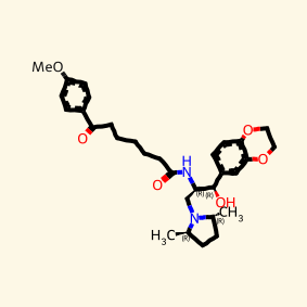 COc1ccc(C(=O)CCCCCC(=O)N[C@H](CN2[C@H](C)CC[C@H]2C)[C@H](O)c2ccc3c(c2)OCCO3)cc1